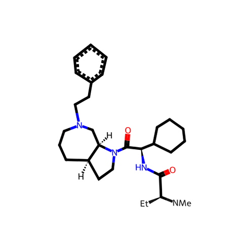 CC[C@H](NC)C(=O)N[C@@H](C(=O)N1CC[C@H]2CCCN(CCc3ccccc3)C[C@H]21)C1CCCCC1